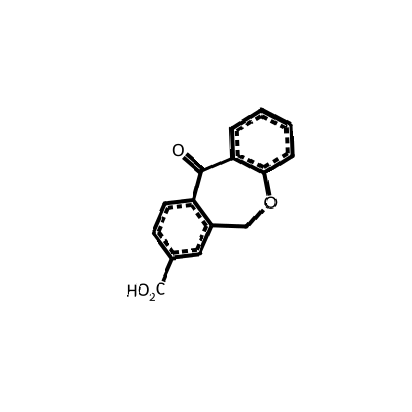 O=C(O)c1ccc2c(c1)COc1ccccc1C2=O